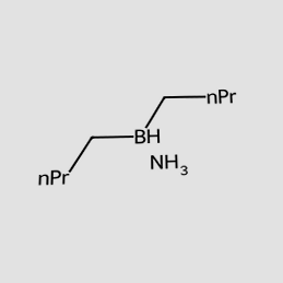 CCCCBCCCC.N